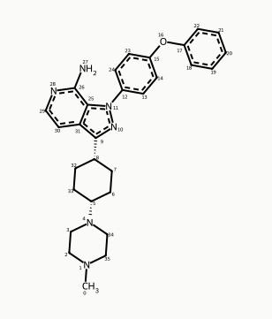 CN1CCN([C@H]2CC[C@@H](c3nn(-c4ccc(Oc5ccccc5)cc4)c4c(N)nccc43)CC2)CC1